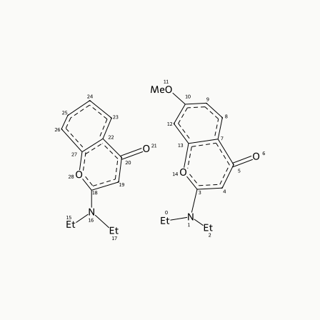 CCN(CC)c1cc(=O)c2ccc(OC)cc2o1.CCN(CC)c1cc(=O)c2ccccc2o1